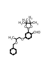 CC(COc1ccc(C=O)c(B2OC(C)(C)C(C)(C)O2)c1)OCc1ccccc1